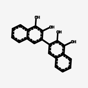 Oc1c(-c2cc3ccccc3c(O)c2O)cc2ccccc2c1O